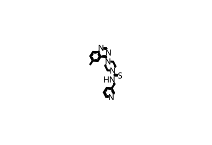 Cc1ccc2ncnc(N3CCN(C(=S)NCc4cccnc4)CC3)c2c1